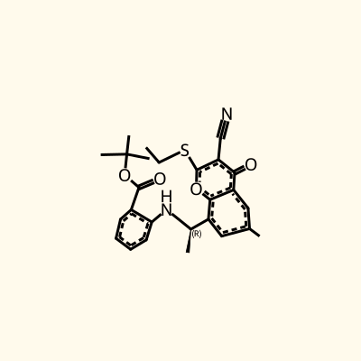 CCSc1oc2c([C@@H](C)Nc3ccccc3C(=O)OC(C)(C)C)cc(C)cc2c(=O)c1C#N